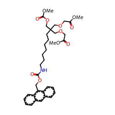 COC(=O)COCC(CCCCCCCNC(=O)OCc1c2ccccc2cc2ccccc12)(COCC(=O)OC)COC(=O)OC